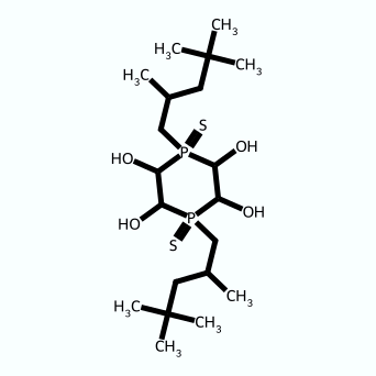 CC(CC(C)(C)C)CP1(=S)C(O)C(O)P(=S)(CC(C)CC(C)(C)C)C(O)C1O